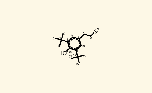 CC(C)(C)c1cc(CC[S])cc(C(C)(C)C)c1O